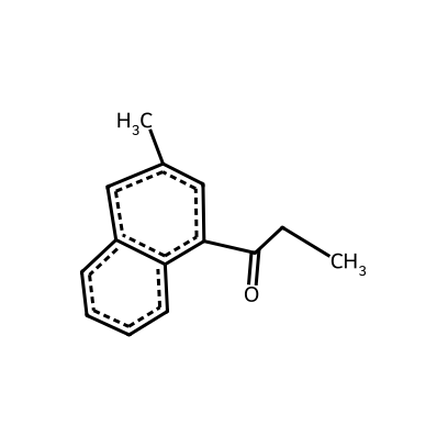 CCC(=O)c1cc(C)cc2ccccc12